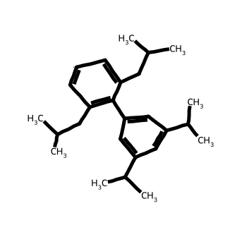 CC(C)Cc1c[c]cc(CC(C)C)c1-c1cc(C(C)C)cc(C(C)C)c1